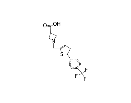 O=C(O)C1CN(CC2=CCC(c3ccc(C(F)(F)F)cc3)S2)C1